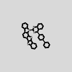 c1ccc(-c2ccc(-c3nc(-n4c5ccccc5c5ccc6c7sc8ccccc8c7sc6c54)nc4ccccc34)cc2)cc1